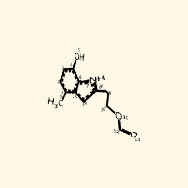 Cc1ccc(O)c2[nH]c(CCOC=O)cc12